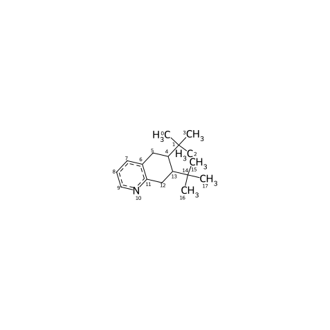 CC(C)(C)C1Cc2cccnc2CC1C(C)(C)C